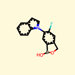 OB1OCc2cc(F)c(-n3ccc4ccccc43)cc21